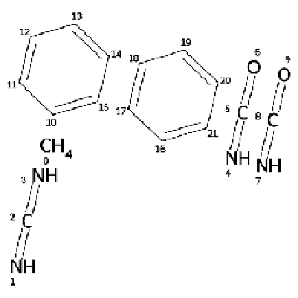 C.N=C=N.N=C=O.N=C=O.c1ccccc1.c1ccccc1